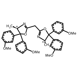 COc1cccc(C2(c3cccc(OC)c3)OC(CC3=N[C@H](C)C(c4cccc(OC)c4)(c4cccc(OC)c4)O3)=N[C@@H]2C)c1